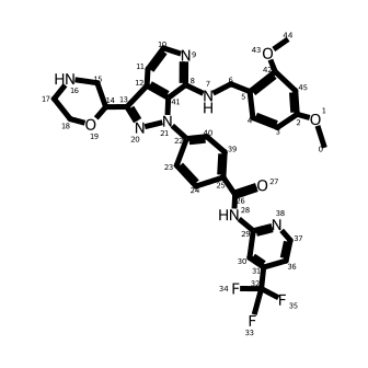 COc1ccc(CNc2nccc3c(C4CNCCO4)nn(-c4ccc(C(=O)Nc5cc(C(F)(F)F)ccn5)cc4)c23)c(OC)c1